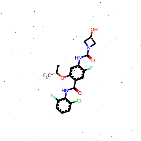 C[C@H](Oc1cc(NC(=O)N2CC(O)C2)c(F)cc1C(=O)Nc1c(F)cccc1Cl)C(F)(F)F